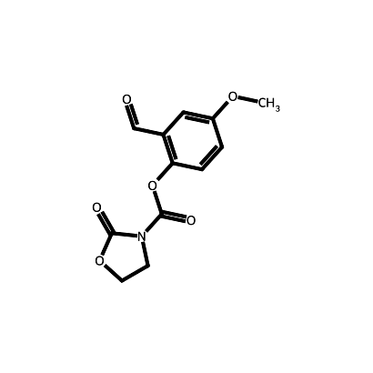 COc1ccc(OC(=O)N2CCOC2=O)c(C=O)c1